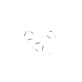 CCc1cc(F)ccc1-c1ncc(OC)cc1Cc1cnn(CC)c1